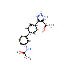 CC(=O)Nc1cccc(-c2ccc(-c3nn[nH]c3C(=O)O)cc2)c1